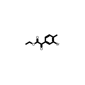 CCOC(=O)C(=O)c1ccc(C)c(Br)c1